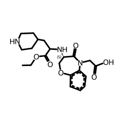 CCOC(=O)C(CC1CCNCC1)N[C@H]1COc2ccccc2N(CC(=O)O)C1=O